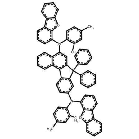 Cc1ccc(N(c2ccc3c(c2)C(c2ccccc2)(c2ccccc2)c2cc(N(c4ccc(C)cc4C)c4cccc5c4oc4ccccc45)c4ccccc4c2-3)c2cccc3c2oc2ccccc23)c(C)c1